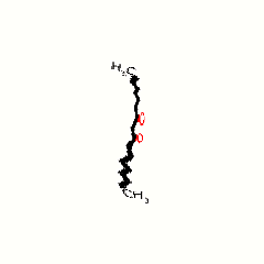 CCCCCCCCC(=O)CC(=O)CCCCCCC